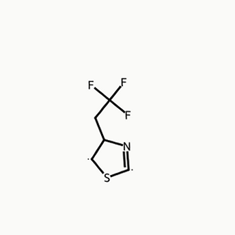 FC(F)(F)CC1[CH]S[C]=N1